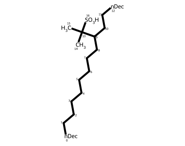 CCCCCCCCCCCCCCCCCC[C](CCCCCCCCCCCC)C(C)(C)S(=O)(=O)O